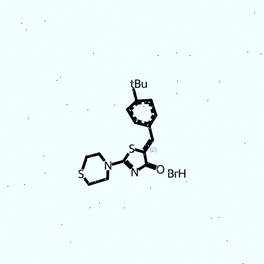 Br.CC(C)(C)c1ccc(/C=C2\SC(N3CCSCC3)=NC2=O)cc1